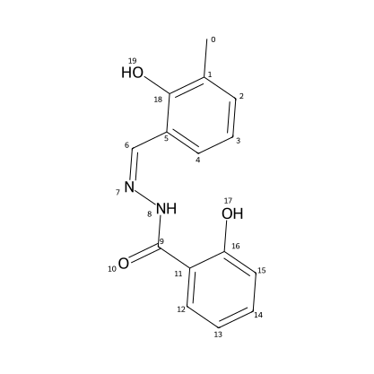 Cc1cccc(/C=N\NC(=O)c2ccccc2O)c1O